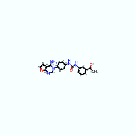 CC(=O)c1cccc(NC(=O)Nc2ccc(N3CN=c4occc4=C3N)cc2)c1